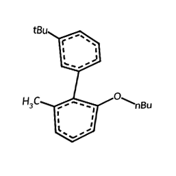 CCCCOc1cccc(C)c1-c1cccc(C(C)(C)C)c1